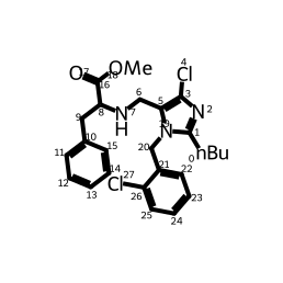 CCCCc1nc(Cl)c(CNC(Cc2ccccc2)C(=O)OC)n1Cc1ccccc1Cl